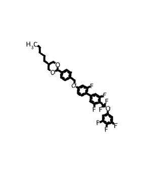 CCCCCC1COC(c2ccc(COc3ccc(-c4cc(F)c(C(F)(F)Oc5cc(F)c(F)c(F)c5)c(F)c4)c(F)c3)cc2)OC1